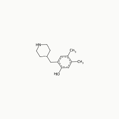 Cc1cc(O)c(CC2CCNCC2)cc1C